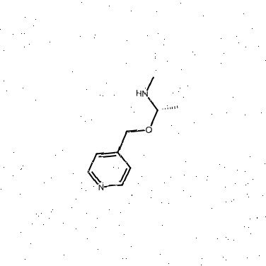 CN[C@H](C)OCc1ccncc1